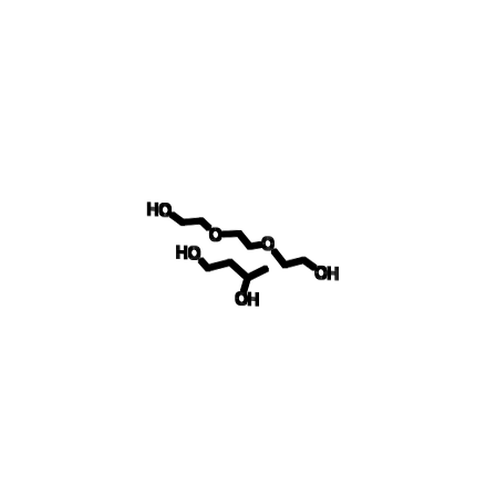 CC(O)CCO.OCCOCCOCCO